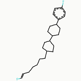 FC=CCCCCCC1CCC(C2CCC(c3ccc(F)cc3)CC2)CC1